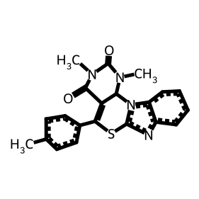 Cc1ccc(C2=C3C(=O)N(C)C(=O)N(C)C3n3c(nc4ccccc43)S2)cc1